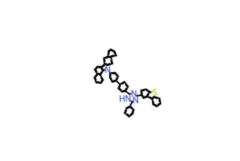 c1ccc(C2=NC(c3ccc4sc5ccccc5c4c3)=NC(c3ccc(-c4ccc(-n5c6cc7ccccc7cc6c6ccc7ccccc7c65)cc4)cc3)N2)cc1